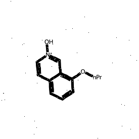 CCCOc1cccc2cc[n+](O)cc12